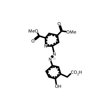 COC(=O)c1cc(/N=N/c2ccc(O)c(CC(=O)O)c2)nc(C(=O)OC)c1